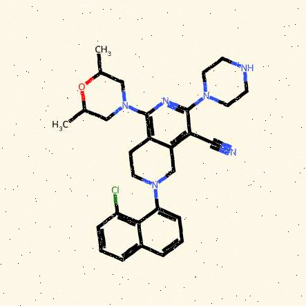 CC1CN(c2nc(N3CCNCC3)c(C#N)c3c2CCN(c2cccc4cccc(Cl)c24)C3)CC(C)O1